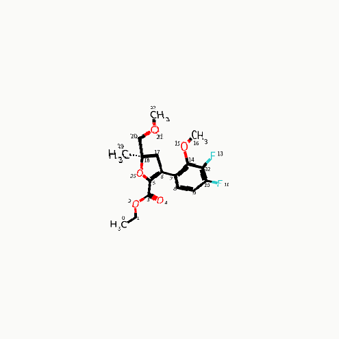 CCOC(=O)C1=C(c2ccc(F)c(F)c2OC)C[C@](C)(COC)O1